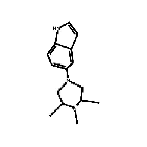 CC1CN(c2ccc3[nH]ccc3c2)CC(C)N1C